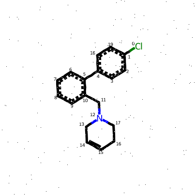 Clc1ccc(-c2ccccc2CN2CC=[C]CC2)cc1